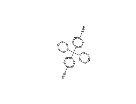 N#Cc1ccc(C(c2ccccc2)(c2ccccc2)c2ccc(C#N)cc2)cc1